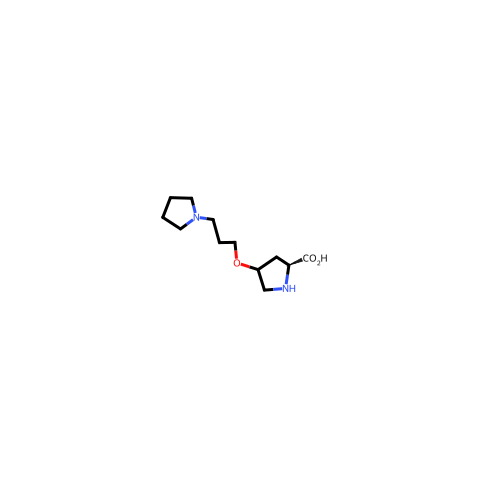 O=C(O)[C@@H]1CC(OCCCN2CCCC2)CN1